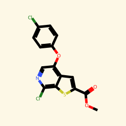 COC(=O)c1cc2c(Oc3ccc(Cl)cc3)cnc(Cl)c2s1